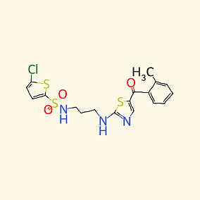 Cc1ccccc1C(=O)c1cnc(NCCCNS(=O)(=O)c2ccc(Cl)s2)s1